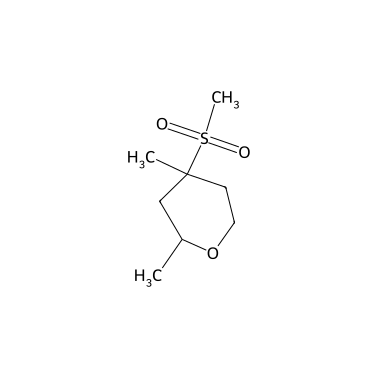 CC1CC(C)(S(C)(=O)=O)CCO1